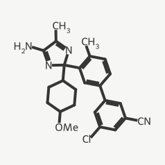 COC1CCC(C2(c3cc(-c4cc(Cl)cc(C#N)c4)ccc3C)N=C(C)C(N)=N2)CC1